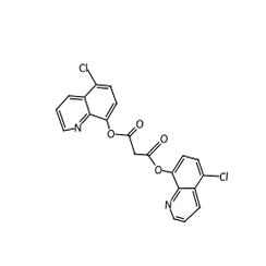 O=C(CC(=O)Oc1ccc(Cl)c2cccnc12)Oc1ccc(Cl)c2cccnc12